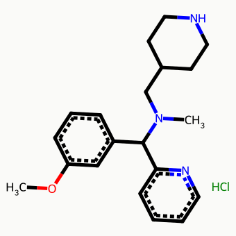 COc1cccc(C(c2ccccn2)N(C)CC2CCNCC2)c1.Cl